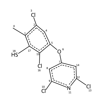 Cc1c(Cl)cc(Oc2cc(Cl)nc(Cl)c2)c(Cl)c1S